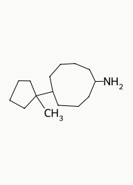 CC1(C2CCCCC(N)CCC2)CCCC1